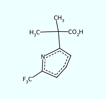 CC(C)(C(=O)O)c1cccc(C(F)(F)F)n1